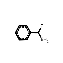 BC(F)c1ccccc1